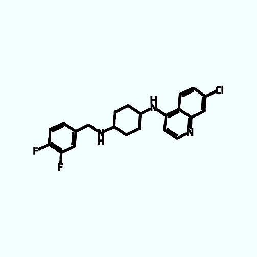 Fc1ccc(CNC2CCC(Nc3ccnc4cc(Cl)ccc34)CC2)cc1F